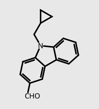 O=Cc1ccc2c(c1)c1ccccc1n2CC1CC1